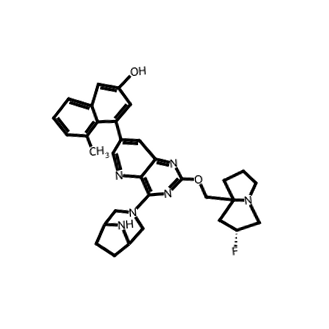 Cc1cccc2cc(O)cc(-c3cnc4c(N5CC6CCC(C5)N6)nc(OCC56CCCN5C[C@H](F)C6)nc4c3)c12